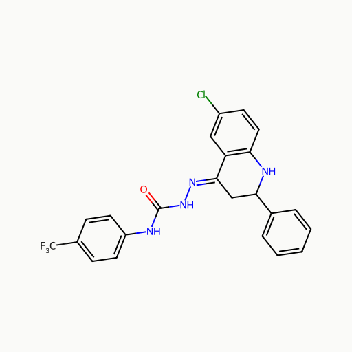 O=C(NN=C1CC(c2ccccc2)Nc2ccc(Cl)cc21)Nc1ccc(C(F)(F)F)cc1